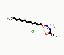 CCCCCCCCCCCCOC[N+](C)(C)CC(C)O.[Cl-]